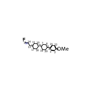 COc1ccc(C2CCC([C@H]3CC[C@H](C/C=C/F)CC3)CC2)cc1